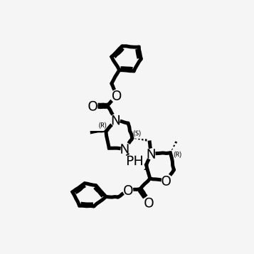 C[C@@H]1COC(C(=O)OCc2ccccc2)CN1C[C@H]1CN(C(=O)OCc2ccccc2)[C@H](C)CN1P